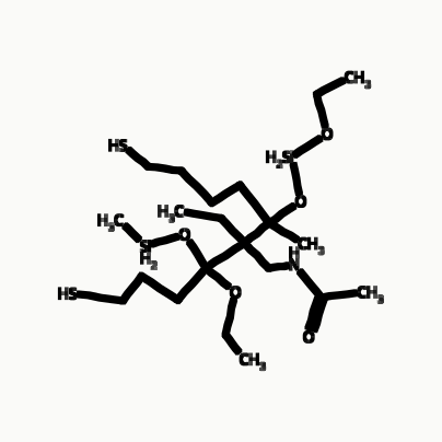 CCO[SiH2]OC(C)(CCCCS)C(CC)(CNC(C)=O)C(CCCS)(OCC)O[SiH2]C